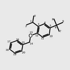 CC(C)c1cc(C(C)(C)C)ccc1OCc1ccccc1